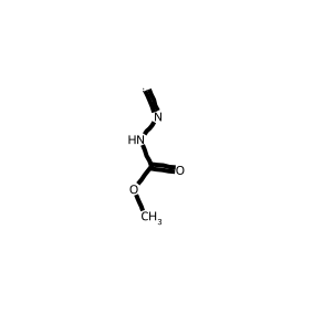 [C]=NNC(=O)OC